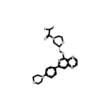 O=C(C(F)F)N1CCO[C@H](COc2nc(-c3ccc(N4CCOCC4)cc3)cc3nccnc23)C1